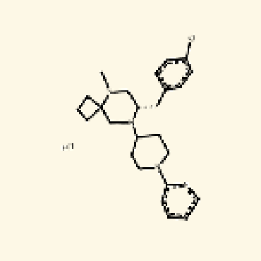 CN1C[C@H](Cc2ccc(Cl)cc2)N(C2CCN(c3ccccn3)CC2)CC12CCC2.Cl